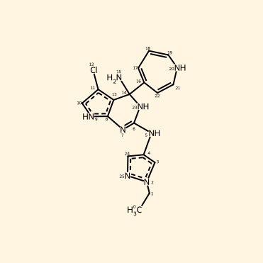 CCn1cc(NC2=Nc3[nH]cc(Cl)c3C(N)(C3=CC=CNC=C3)N2)cn1